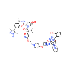 Cc1n[nH]c(C)c1-c1ccc([C@H](C)NC(=O)[C@@H]2C[C@@H](O)CN2C(=O)[C@@H](c2cc(OCCN3CCC(O[C@H]4C[C@H](Oc5cc(N6C7CCC6CN(c6cc(-c8ccccc8O)nnc6N)C7)ccn5)C4)CC3)no2)C(C)C)cc1